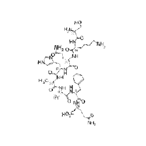 CC(C)[C@H](NC(=O)[C@H](C)NC(=O)[C@H](Cc1c[nH]cn1)NC(=O)[C@H](CCC(N)=O)NC(=O)[C@H](CCCCN)NC(=O)[C@@H](N)CO)C(=O)N[C@@H](Cc1ccccc1)C(=O)N[C@@H](CCC(N)=O)C(=O)O